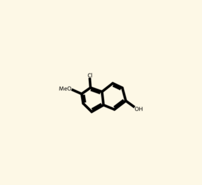 COc1ccc2cc(O)ccc2c1Cl